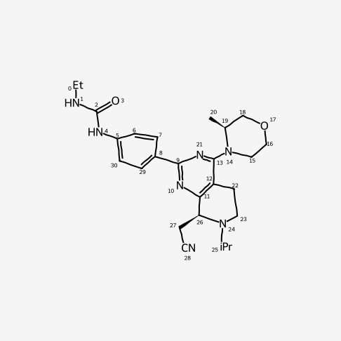 CCNC(=O)Nc1ccc(-c2nc3c(c(N4CCOC[C@@H]4C)n2)CCN(C(C)C)[C@H]3CC#N)cc1